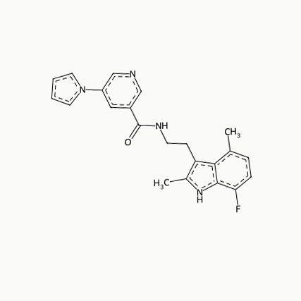 Cc1[nH]c2c(F)ccc(C)c2c1CCNC(=O)c1cncc(-n2cccc2)c1